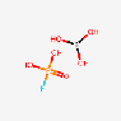 O=P(O)(O)F.OB(O)O